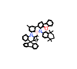 Cc1cc2c3c(c1)N1c4ccccc4C4(c5ccccc5-c5ccccc54)c4cccc(c41)B3N(c1ccc3c(c1)C(C)(C)CCC3(C)C)c1c-2ccc2c1oc1ccccc12